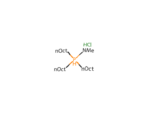 CCCCCCCC[PH](CCCCCCCC)(CCCCCCCC)NC.Cl